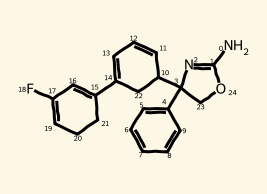 NC1=NC(c2ccccc2)(C2C=CC=C(C3=CC(F)=CCC3)C2)CO1